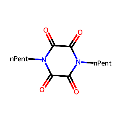 CCCCCN1C(=O)C(=O)N(CCCCC)C(=O)C1=O